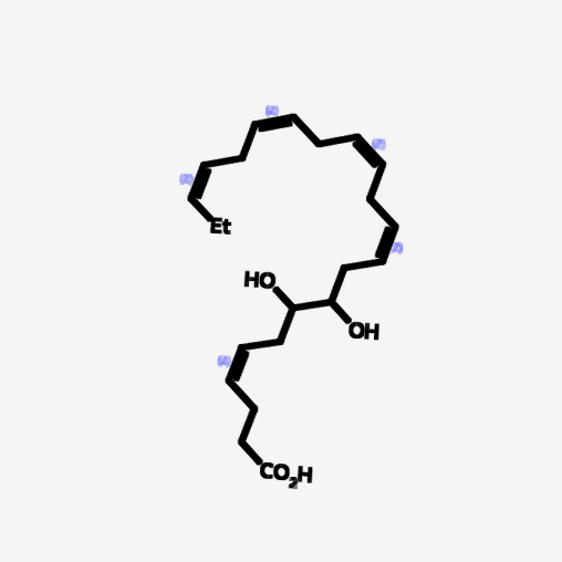 CC/C=C\C/C=C\C/C=C\C/C=C\CC(O)C(O)C/C=C\CCC(=O)O